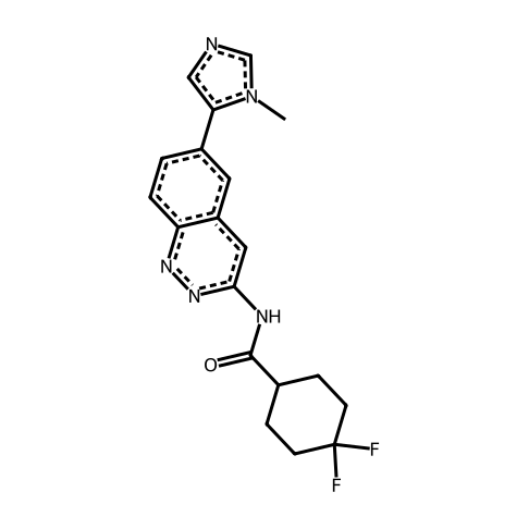 Cn1cncc1-c1ccc2nnc(NC(=O)C3CCC(F)(F)CC3)cc2c1